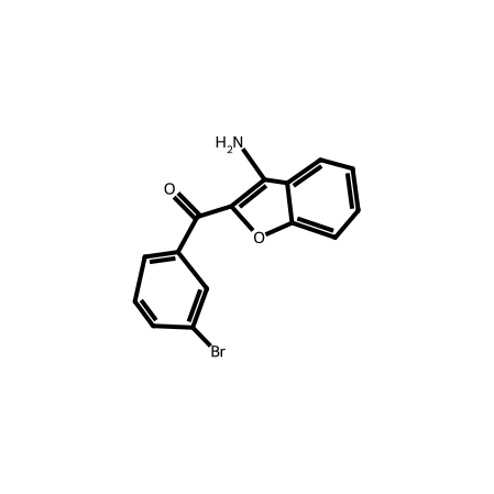 Nc1c(C(=O)c2cccc(Br)c2)oc2ccccc12